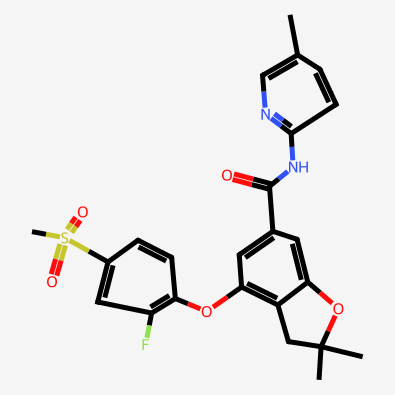 Cc1ccc(NC(=O)c2cc(Oc3ccc(S(C)(=O)=O)cc3F)c3c(c2)OC(C)(C)C3)nc1